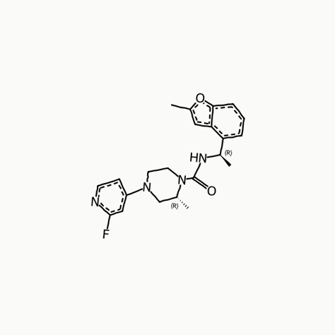 Cc1cc2c([C@@H](C)NC(=O)N3CCN(c4ccnc(F)c4)C[C@H]3C)cccc2o1